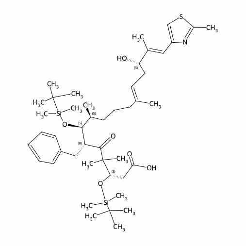 CC(=CC[C@H](O)C(C)=Cc1csc(C)n1)CCC[C@H](C)[C@H](O[Si](C)(C)C(C)(C)C)[C@@H](Cc1ccccc1)C(=O)C(C)(C)[C@H](CC(=O)O)O[Si](C)(C)C(C)(C)C